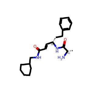 C[C@H](N)C(=O)N[C@H](C=CC(=O)NCC1CCCCC1)CCc1ccccc1